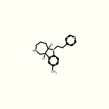 Cc1ccc2c(c1)[C@@H]1CNCCC[C@@H]1N2CCc1ccncc1